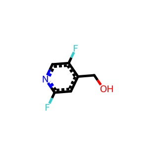 OCc1cc(F)ncc1F